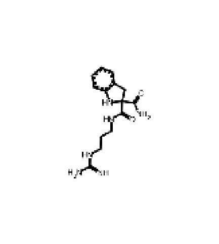 N=C(N)NCCCNC(=O)C1(C(N)=O)Cc2c[c]ccc2N1